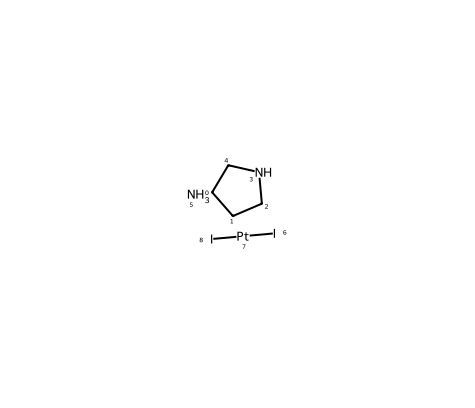 C1CCNC1.N.[I][Pt][I]